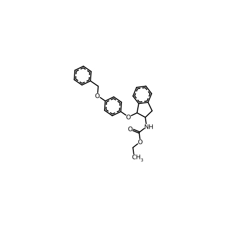 CCOC(=O)NC1Cc2ccccc2C1Oc1ccc(OCc2ccccc2)cc1